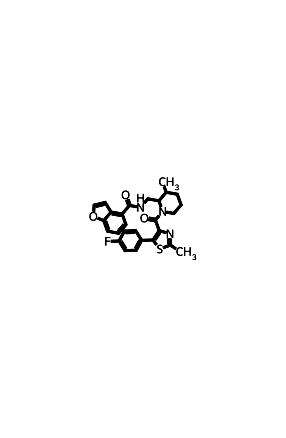 Cc1nc(C(=O)N2CCCC(C)C2CNC(=O)c2cccc3occc23)c(-c2ccc(F)cc2)s1